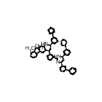 CC1(C)c2ccccc2-c2cc3c(cc21)NC(c1cccc(-c2ccccc2)c1)C=C3c1cccc(C2=NC(c3cccc(-c4ccccc4)c3)=CC(c3cccc(-c4ccccc4)c3)N2)c1